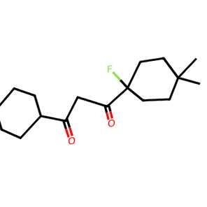 CC1(C)CCC(F)(C(=O)CC(=O)C2CCCCC2)CC1